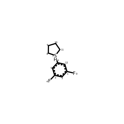 Fc1cc(F)cc([SH]2CCCC2)c1